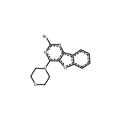 Brc1nc(N2CCOCC2)c2oc3ccccc3c2n1